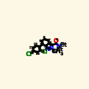 CCN(CC)C(=O)c1c2cccc(-c3ccc(Cl)cc3Cl)c2nn1C